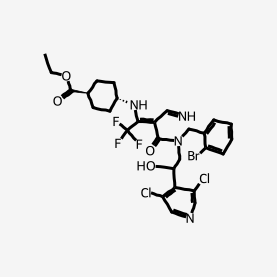 CCOC(=O)[C@H]1CC[C@H](N/C(=C(\C=N)C(=O)N(Cc2ccccc2Br)CC(O)c2c(Cl)cncc2Cl)C(F)(F)F)CC1